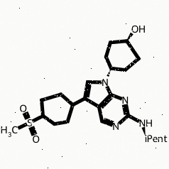 CCC[C@H](C)Nc1ncc2c(C3CCC(S(C)(=O)=O)CC3)cn([C@H]3CC[C@H](O)CC3)c2n1